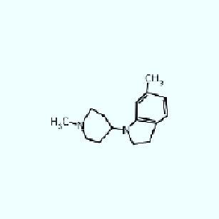 Cc1ccc2c(c1)N(C1CCN(C)CC1)CC2